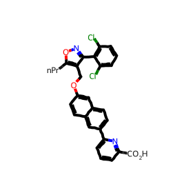 CCCc1onc(-c2c(Cl)cccc2Cl)c1COc1ccc2cc(-c3cccc(C(=O)O)n3)ccc2c1